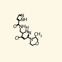 C[C@@H]1COCCN1C1=NNC(CNC(=O)c2ccn[nH]2)C(Cl)=C1